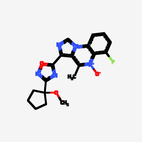 COC1(c2noc(-c3ncn4c3c(C)[n+]([O-])c3c(F)cccc34)n2)CCCC1